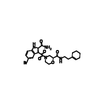 NC(=O)c1[nH]c2ccc(Br)cc2c1S(=O)(=O)N1CCOC(C(=O)NCCC2=CCCCC2)C1